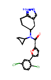 O=C(c1ccc(-c2cc(Cl)ccc2Cl)o1)N(C1CC1)C1CCc2[nH]ncc2C1